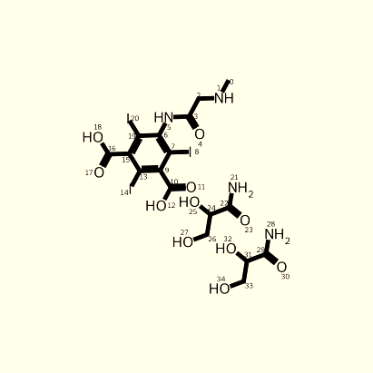 CNCC(=O)Nc1c(I)c(C(=O)O)c(I)c(C(=O)O)c1I.NC(=O)C(O)CO.NC(=O)C(O)CO